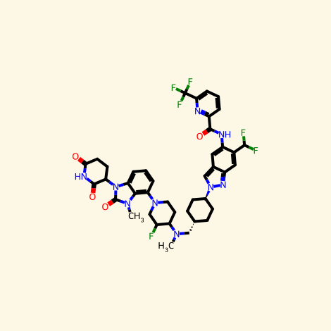 CN(C[C@H]1CC[C@H](n2cc3cc(NC(=O)c4cccc(C(F)(F)F)n4)c(C(F)F)cc3n2)CC1)C1CCN(c2cccc3c2n(C)c(=O)n3C2CCC(=O)NC2=O)CC1F